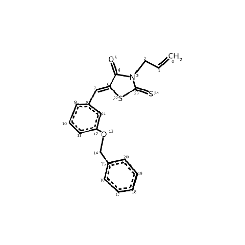 C=CCN1C(=O)C(=Cc2cccc(OCc3ccccc3)c2)SC1=S